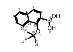 OB(O)c1ccc2ccccc2c1OC(F)(F)F